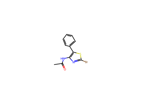 CC(=O)Nc1nc(Br)sc1-c1ccccc1